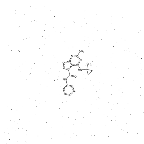 Cc1nc(NC2(C)CC2)c2c(C(=O)Nc3cccnc3)coc2n1